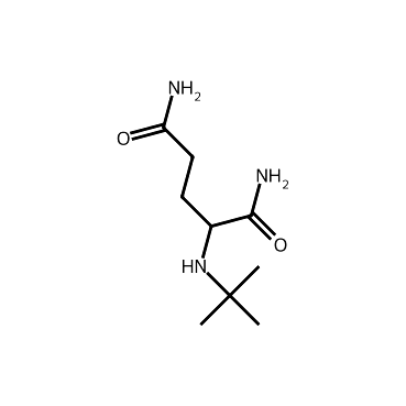 CC(C)(C)NC(CCC(N)=O)C(N)=O